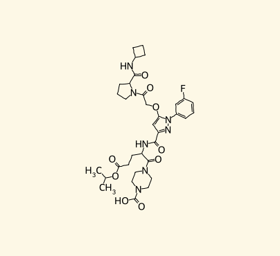 CC(C)OC(=O)CCC(NC(=O)c1cc(OCC(=O)N2CCCC2C(=O)NC2CCC2)n(-c2cccc(F)c2)n1)C(=O)N1CCN(C(=O)O)CC1